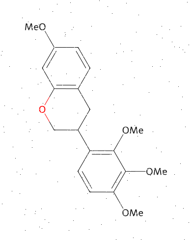 COc1ccc2c(c1)OCC(c1ccc(OC)c(OC)c1OC)C2